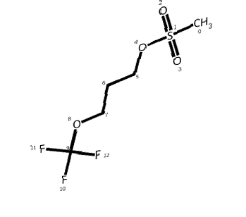 CS(=O)(=O)OCCCOC(F)(F)F